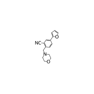 N#Cc1cc(-c2ccco2)ccc1CN1CCOCC1